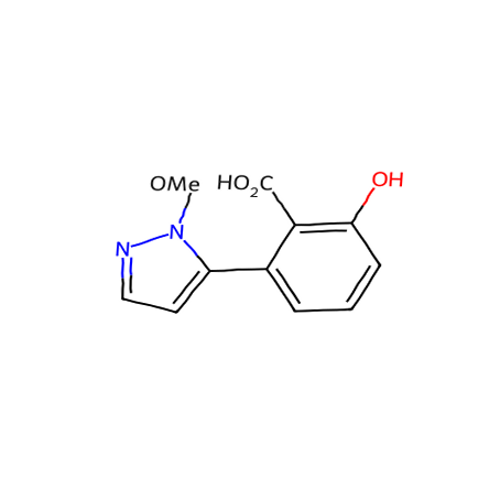 COn1nccc1-c1cccc(O)c1C(=O)O